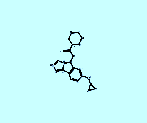 O=C(CC1c2nc(OC3CC3)ccc2-c2cncn21)C1CCCCC1